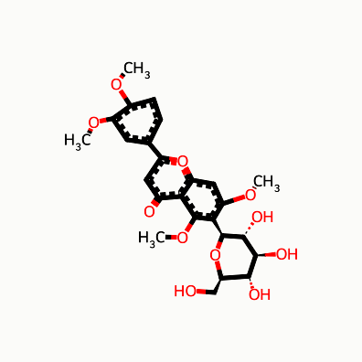 COc1ccc(-c2cc(=O)c3c(OC)c([C@@H]4O[C@H](CO)[C@@H](O)[C@H](O)[C@H]4O)c(OC)cc3o2)cc1OC